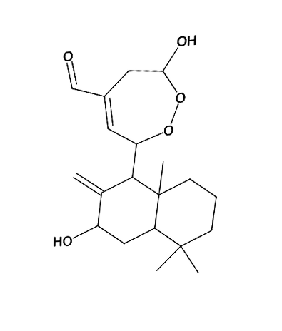 C=C1C(O)CC2C(C)(C)CCCC2(C)C1C1C=C(C=O)CC(O)OO1